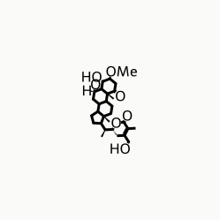 CO[C@H]1CC(=O)[C@]2(C)C3CC[C@@]4(C)C(CCC4[C@H](C)[C@H]4CC(CO)=C(C)C(=O)O4)C3C[C@H]3O[C@]32[C@H]1O